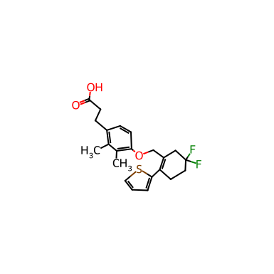 Cc1c(CCC(=O)O)ccc(OCC2=C(c3cccs3)CCC(F)(F)C2)c1C